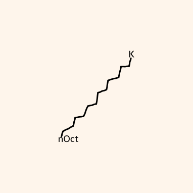 CCCCCCCCCCCCCCCCCCC[CH2][K]